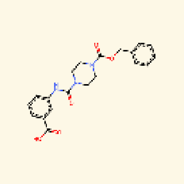 O=C(O)c1cccc(NC(=O)N2CCN(C(=O)OCc3ccccc3)CC2)c1